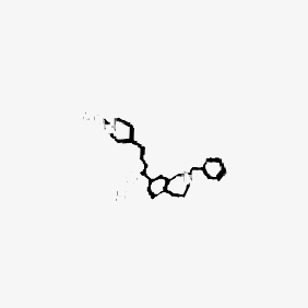 CC(=O)N1CCC(CCCC(=O)c2ccc3c(c2)CN(Cc2ccccc2)CCC3)CC1.Cl